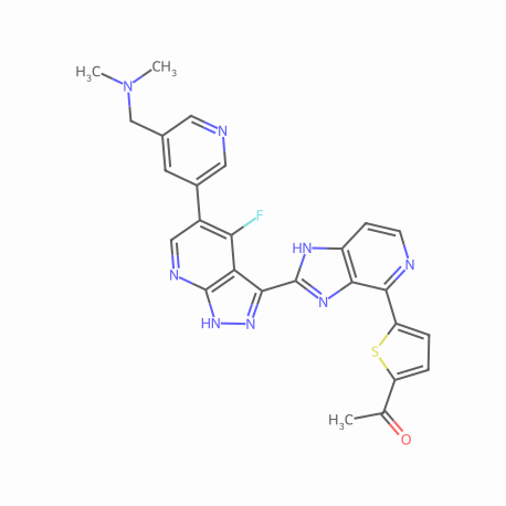 CC(=O)c1ccc(-c2nccc3[nH]c(-c4n[nH]c5ncc(-c6cncc(CN(C)C)c6)c(F)c45)nc23)s1